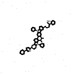 CC1c2cc3c4cc(CC/C=C(\C=N)c5ccccc5)ccc4n(-c4ccccc4)c3cc2-c2ccc3c4c(n(-c5ccccc5)c3c2C1C)C=CC(c1ccc(-c2ccccc2)cn1)C4